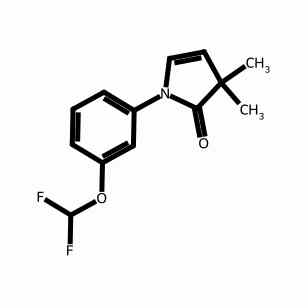 CC1(C)C=CN(c2cccc(OC(F)F)c2)C1=O